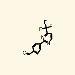 O=Cc1ccc(-c2nccc(C(F)(F)F)n2)cc1